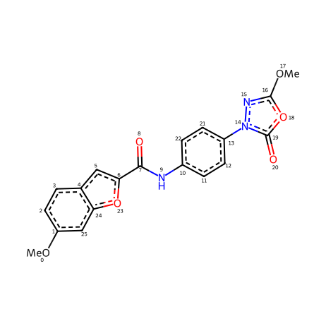 COc1ccc2cc(C(=O)Nc3ccc(-n4nc(OC)oc4=O)cc3)oc2c1